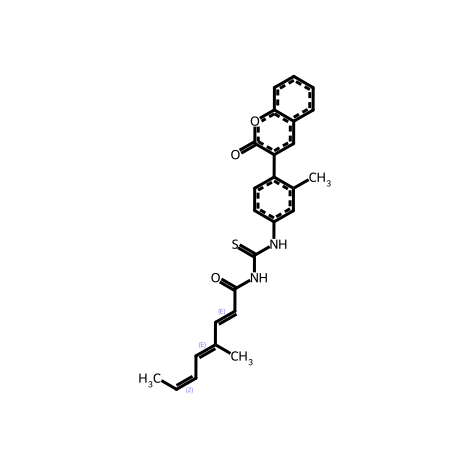 C\C=C/C=C(C)/C=C/C(=O)NC(=S)Nc1ccc(-c2cc3ccccc3oc2=O)c(C)c1